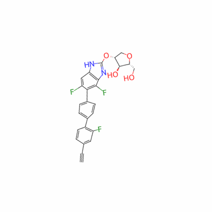 C#Cc1ccc(-c2ccc(-c3c(F)cc4[nH]c(O[C@@H]5CO[C@H](CO)[C@H]5O)nc4c3F)cc2)c(F)c1